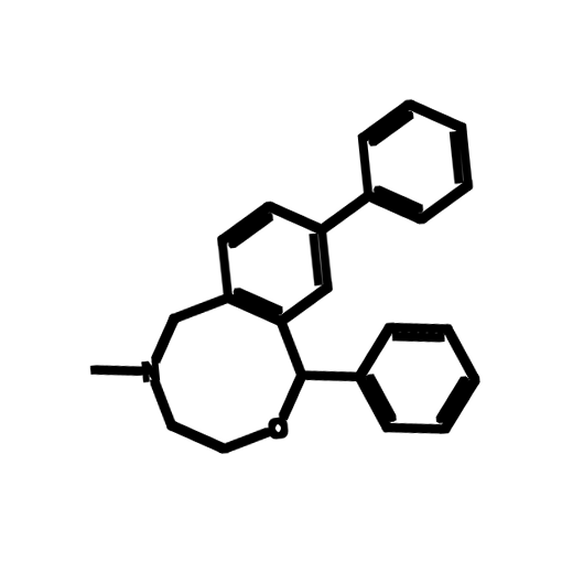 CN1CCOC(c2ccccc2)c2cc(-c3ccccc3)ccc2C1